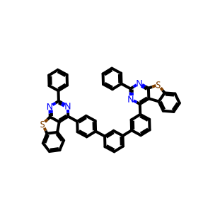 c1ccc(-c2nc(-c3ccc(-c4cccc(-c5cccc(-c6nc(-c7ccccc7)nc7sc8ccccc8c67)c5)c4)cc3)c3c(n2)sc2ccccc23)cc1